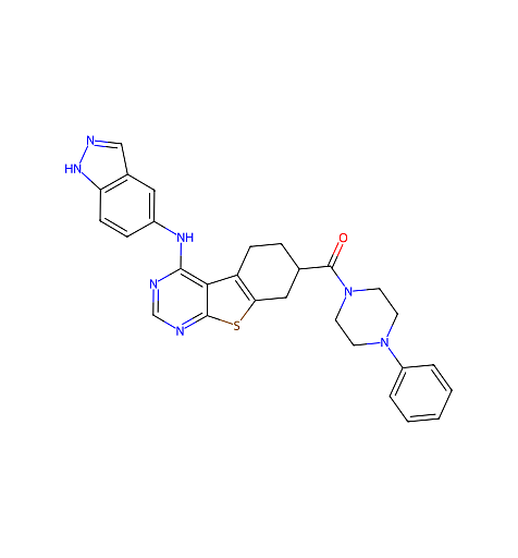 O=C(C1CCc2c(sc3ncnc(Nc4ccc5[nH]ncc5c4)c23)C1)N1CCN(c2ccccc2)CC1